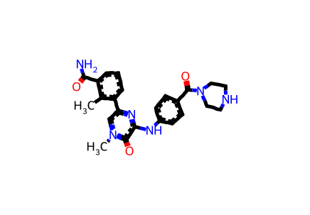 Cc1c(C(N)=O)cccc1-c1cn(C)c(=O)c(Nc2ccc(C(=O)N3CCNCC3)cc2)n1